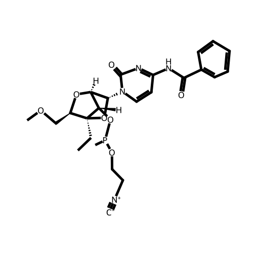 [C-]#[N+]CCOP(C)O[C@H]1[C@H]2O[C@H](COC)[C@]1(CC)O[C@H]2n1ccc(NC(=O)c2ccccc2)nc1=O